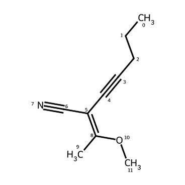 CCCC#C/C(C#N)=C(/C)OC